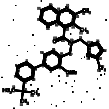 COc1cc(-c2cccc(C(C)(C)C(=O)O)c2)ccc1CN(Cc1ccc(C(F)(F)F)o1)C(=O)c1c(C)c(C)nc2cccnc12